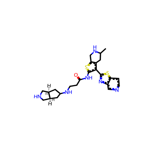 CC1Cc2c(sc(NC(=O)CCNC3C[C@H]4CNC[C@H]4C3)c2-c2nc3cnccc3s2)CN1